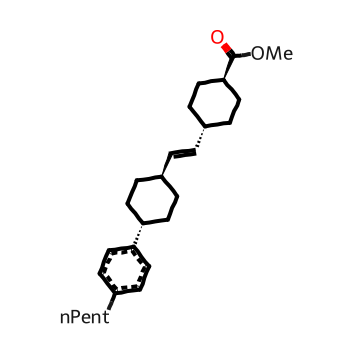 CCCCCc1ccc([C@H]2CC[C@H](/C=C/[C@H]3CC[C@H](C(=O)OC)CC3)CC2)cc1